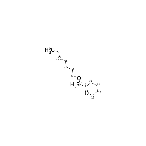 CCOCCCCO[SiH2]C1CCCCO1